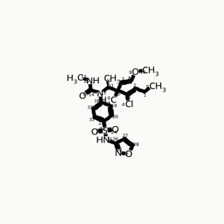 CC/C=C(\Cl)C(C)(/C=C/OC)[C@H](C)N(C(=O)NC)c1ccc(S(=O)(=O)Nc2ccon2)cc1